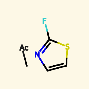 CC(C)=O.Fc1nccs1